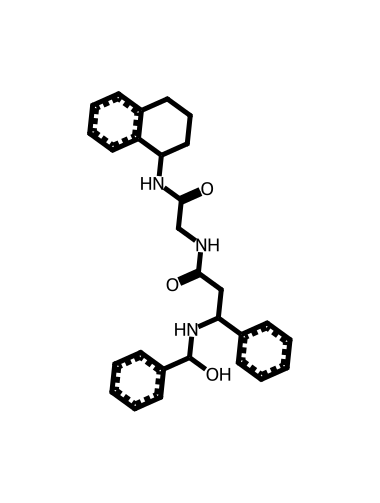 O=C(CC(NC(O)c1ccccc1)c1ccccc1)NCC(=O)NC1CCCc2ccccc21